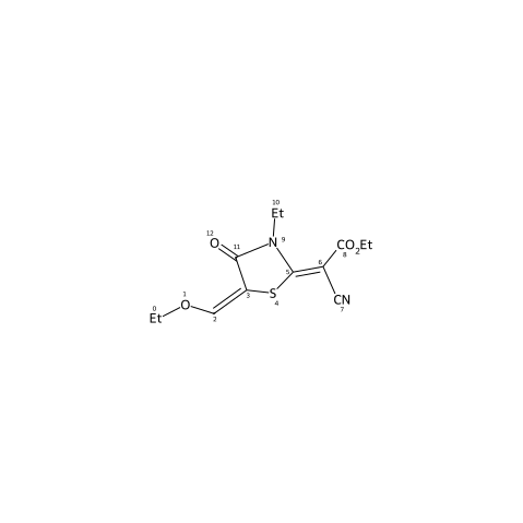 CCOC=c1sc(=C(C#N)C(=O)OCC)n(CC)c1=O